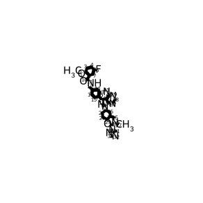 COc1ccc(F)cc1C(=O)NCc1ccc(-c2nn(C3CCCC(CN(C)C(=O)n4cncn4)C3)c3ncnc(N)c23)cc1